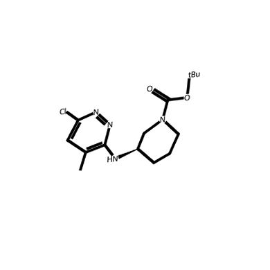 Cc1cc(Cl)nnc1N[C@@H]1CCCN(C(=O)OC(C)(C)C)C1